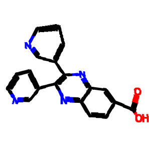 O=C(O)c1ccc2nc(-c3cccnc3)c(-c3cccnc3)nc2c1